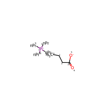 CCCC(=O)[O-].CCC[P+](CCC)(CCC)CCC